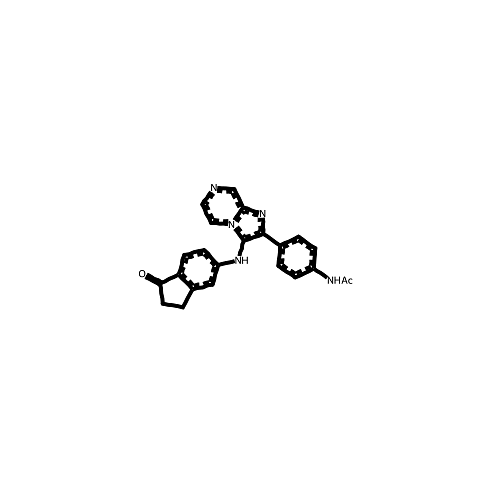 CC(=O)Nc1ccc(-c2nc3cnccn3c2Nc2ccc3c(c2)CCC3=O)cc1